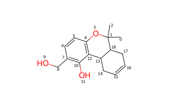 CC1(C)Oc2ccc(CO)c(O)c2C2CC=CCC21